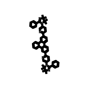 CC1(C)N=C(c2ccccc2)N(c2ccc(-c3ccc4c5ccc(-c6ccc(N7C(c8ccccc8)=NC(C)(C)C7(C)C)cn6)cc5c5ccccc5c4c3)nc2)C1(C)C